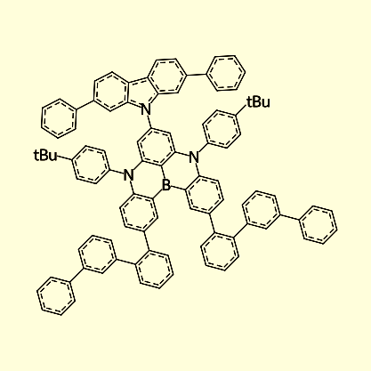 CC(C)(C)c1ccc(N2c3ccc(-c4ccccc4-c4cccc(-c5ccccc5)c4)cc3B3c4cc(-c5ccccc5-c5cccc(-c6ccccc6)c5)ccc4N(c4ccc(C(C)(C)C)cc4)c4cc(-n5c6cc(-c7ccccc7)ccc6c6ccc(-c7ccccc7)cc65)cc2c43)cc1